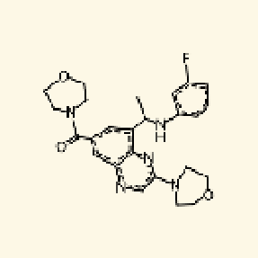 CC(Nc1cccc(F)c1)c1cc(C(=O)N2CCOCC2)cc2ncc(N3CCOCC3)nc12